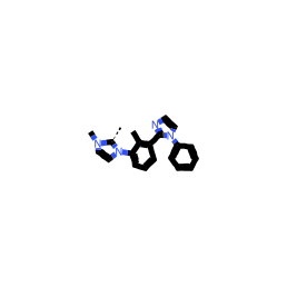 Cc1c(-c2nccn2-c2ccccc2)cccc1N1C=CN(C)[C@@H]1C